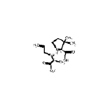 C=CCN[C@@H](C)C(=O)O.CC1(C)CCN[C@@H]1C(=O)O